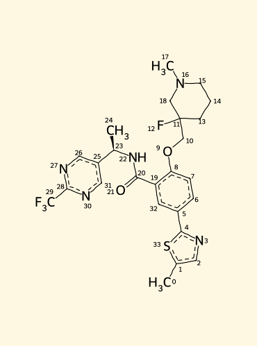 Cc1cnc(-c2ccc(OCC3(F)CCCN(C)C3)c(C(=O)N[C@H](C)c3cnc(C(F)(F)F)nc3)c2)s1